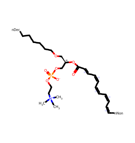 CCCCCCCCC\C=C/C=C\C=C/C=C\C=C\C(=O)O[C@H](COCCCCCCCCCCCCCCCC)COP(=O)([O-])OCC[N+](C)(C)C